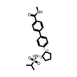 CNC(=O)c1ccc(-c2ccc([C@@H]3CCC[C@@H]3NS(=O)(=O)C(C)C)cc2)cc1